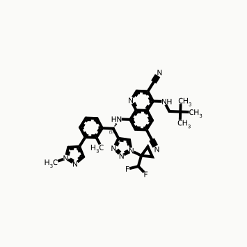 Cc1c(-c2cnn(C)c2)cccc1[C@H](Nc1cc(C#N)cc2c(NCC(C)(C)C)c(C#N)cnc12)c1cn(C2(C(F)F)CC2)nn1